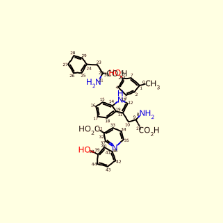 Cc1cccc(O)c1.NC(Cc1c[nH]c2ccccc12)C(=O)O.NC(Cc1ccccc1)C(=O)O.O=C(O)c1cccnc1.Oc1ccccc1